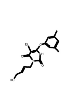 CCc1c(Oc2cc(C)cc(C)c2)[nH]c(=O)n(C/C=C/CO)c1=O